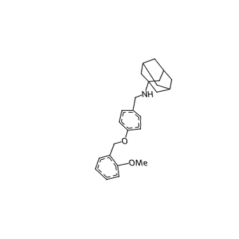 COc1ccccc1COc1ccc(CNC23CC4CC(CC(C4)C2)C3)cc1